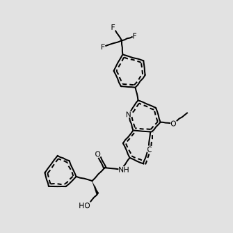 COc1cc(-c2ccc(C(F)(F)F)cc2)nc2cc(NC(=O)[C@@H](CO)c3ccccc3)ccc12